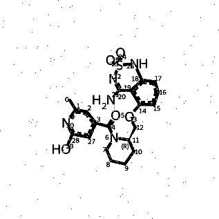 Cc1cc(C(=O)N2CCCC[C@@H]2COc2cccc3c2C(N)=NS(=O)(=O)N3)cc(O)n1